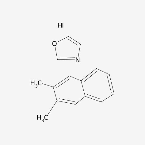 Cc1cc2ccccc2cc1C.I.c1cocn1